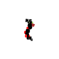 C=CC(F)(F)c1ccc2c(c1Br)CC[C@H]2Oc1ccc2c(c1)OCC2CC(=O)OC